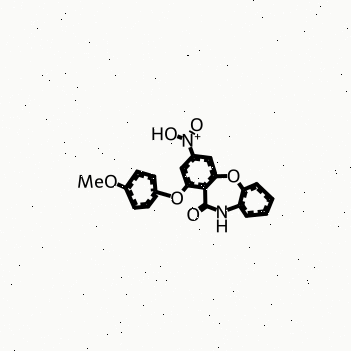 COc1ccc(Oc2cc([N+](=O)O)cc3c2C(=O)Nc2ccccc2O3)cc1